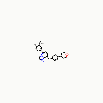 CC(=O)c1cc(-c2ccc(Cc3ccc(C4CCOCC4)cc3)c3nccn23)ccc1C